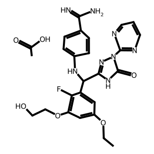 CC(=O)O.CCOc1cc(OCCO)c(F)c(C(Nc2ccc(C(=N)N)cc2)c2nn(-c3ncccn3)c(=O)[nH]2)c1